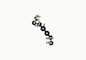 CC(C)(C)OC(=O)N1CCC[C@H]1c1ncc(-c2ccc(-c3ccc(-c4cnc([C@@H]5CCCN5)[nH]4)cc3)cc2F)[nH]1